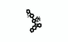 c1ccc2cc3c(cc2c1)c1ccccc1n3-c1ccc(-c2ccc3c(c2)sc2ccccc23)c2cnncc12